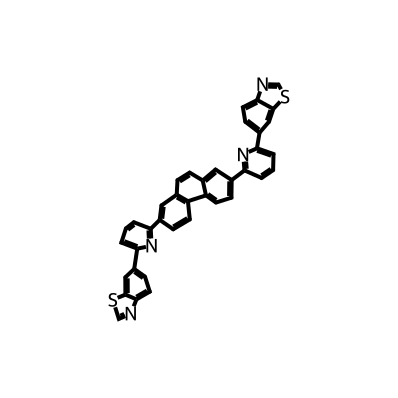 c1cc(-c2ccc3c(ccc4cc(-c5cccc(-c6ccc7ncsc7c6)n5)ccc43)c2)nc(-c2ccc3ncsc3c2)c1